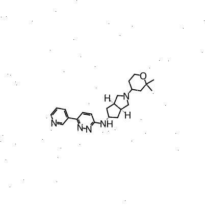 CC1(C)CC(N2C[C@H]3C[C@H](Nc4ccc(-c5cccnc5)nn4)C[C@H]3C2)CCO1